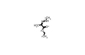 CCOC(=O)/C(C)=N\NC